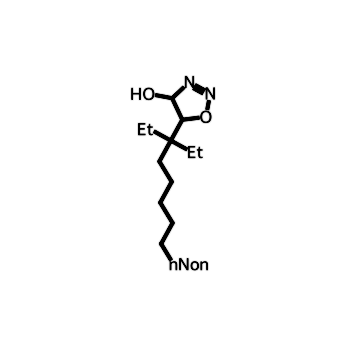 CCCCCCCCCCCCCCC(CC)(CC)C1ON=NC1O